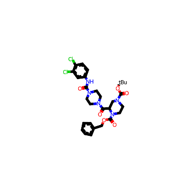 CC(C)(C)OC(=O)N1CCN(C(=O)OCc2ccccc2)C(C(=O)N2CCN(C(=O)Nc3ccc(Cl)c(Cl)c3)CC2)C1